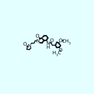 COc1cc(CC(=O)Nc2cccc3c(=O)n(CCCN4CCCC4=O)ccc23)cc(OC)c1